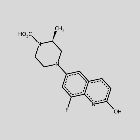 C[C@H]1CN(c2cc(F)c3nc(O)ccc3c2)CCN1C(=O)O